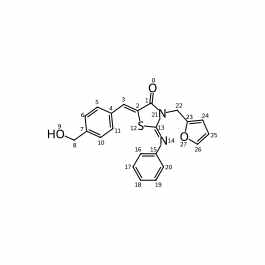 O=C1C(=Cc2ccc(CO)cc2)SC(=Nc2ccccc2)N1Cc1ccco1